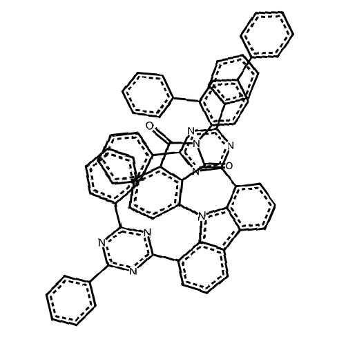 O=C1c2cccc(-n3c4c(-c5nc(-c6ccccc6)nc(-c6ccccc6)n5)cccc4c4cccc(-c5nc(-c6ccccc6)nc(-c6ccccc6)n5)c43)c2C(=O)N1c1ccc(-c2ccccc2)cc1-c1ccccc1